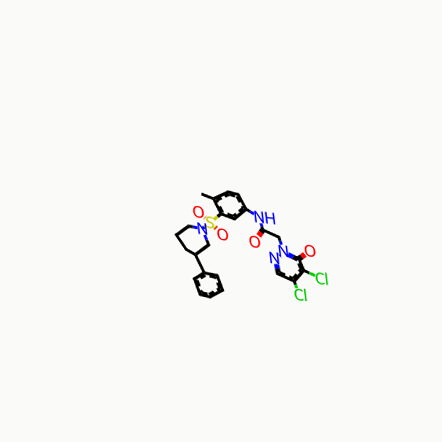 Cc1ccc(NC(=O)Cn2ncc(Cl)c(Cl)c2=O)cc1S(=O)(=O)N1CCCC(c2ccccc2)C1